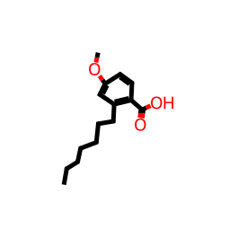 CCCCCCCc1cc(OC)ccc1C(=O)O